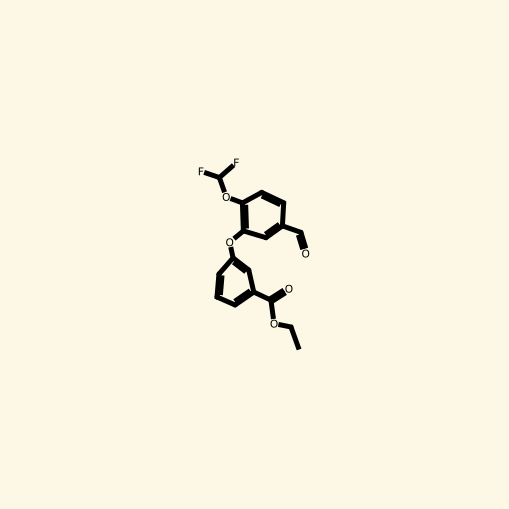 CCOC(=O)c1cccc(Oc2cc(C=O)ccc2OC(F)F)c1